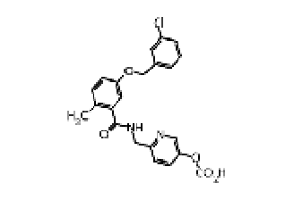 Cc1ccc(OCc2cccc(Cl)c2)cc1C(=O)NCc1ccc(OC(=O)O)cn1